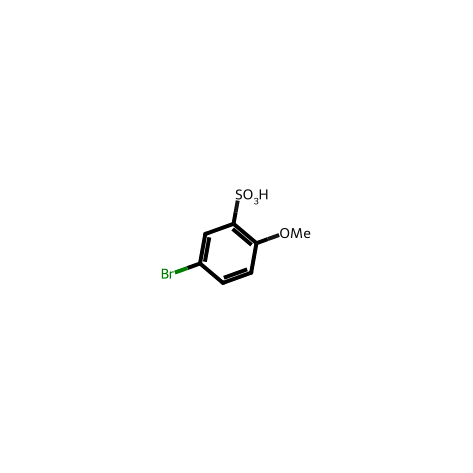 COc1ccc(Br)cc1S(=O)(=O)O